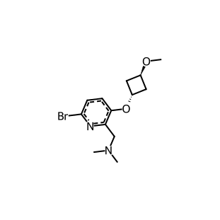 CO[C@H]1C[C@H](Oc2ccc(Br)nc2CN(C)C)C1